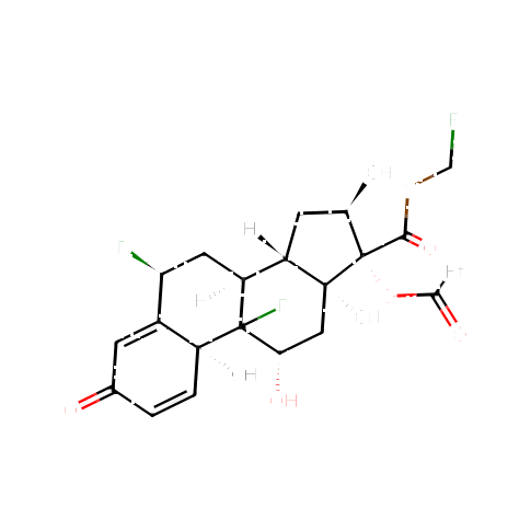 CCC(=O)O[C@@]1(C(=O)SCF)[C@H](C)C[C@H]2[C@@H]3C[C@H](F)C4=CC(=O)C=C[C@]4(C)C3(F)[C@@H](O)C[C@@]21C